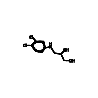 OCC(O)CNc1ccc(Cl)c(Cl)c1